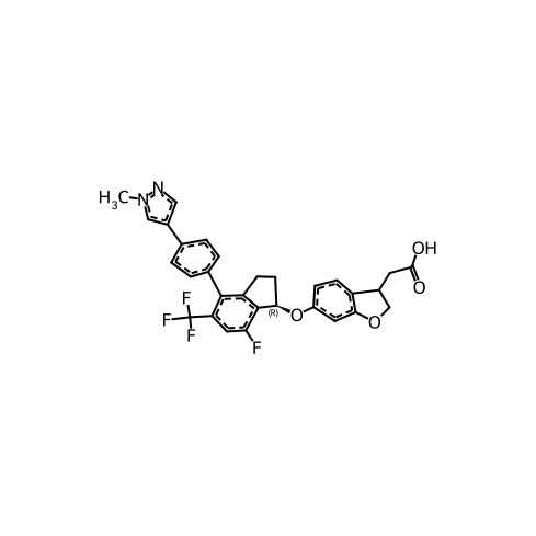 Cn1cc(-c2ccc(-c3c(C(F)(F)F)cc(F)c4c3CC[C@H]4Oc3ccc4c(c3)OCC4CC(=O)O)cc2)cn1